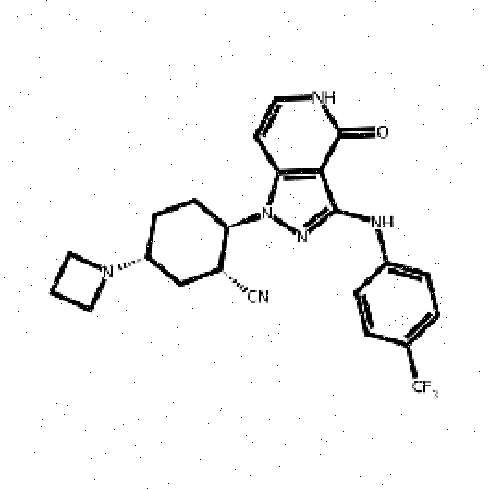 N#C[C@@H]1C[C@H](N2CCC2)CC[C@H]1n1nc(Nc2ccc(C(F)(F)F)cc2)c2c(=O)[nH]ccc21